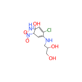 NC1(O)C=C(Cl)C(NCC(O)CO)=CC1[N+](=O)[O-]